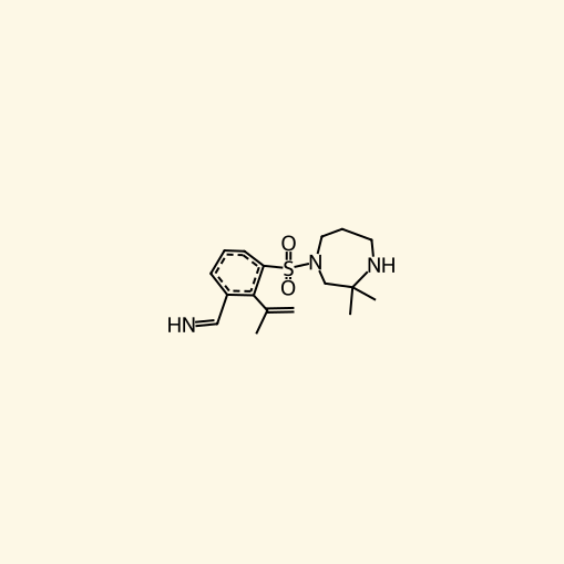 C=C(C)c1c(C=N)cccc1S(=O)(=O)N1CCCNC(C)(C)C1